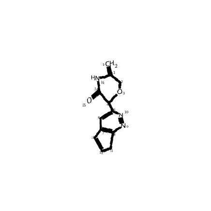 C=C1COC(c2cc3c(nn2)CC=C3)C(=O)N1